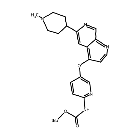 CN1CCC(c2cc3c(Oc4ccc(NC(=O)OC(C)(C)C)nc4)ccnc3cn2)CC1